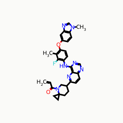 C=CC(=O)N1CC(c2ccc3ncnc(Nc4ccc(Oc5ccc6c(c5)ncn6C)c(C)c4F)c3n2)CCC12CC2